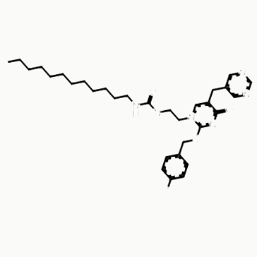 CCCCCCCCCCCCNC(=O)NCCn1cc(Cc2cncnc2)c(=O)nc1SCc1ccc(F)cc1